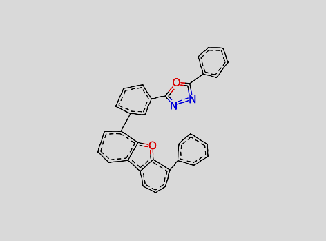 c1ccc(-c2nnc(-c3cccc(-c4cccc5c4oc4c(-c6ccccc6)cccc45)c3)o2)cc1